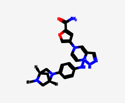 CC(C)N1C[C@@H]2C[C@H]1CN2c1ccc(N[N+]23C=CN(c4coc(C(N)=O)c4)C=C2C=NN3)cc1